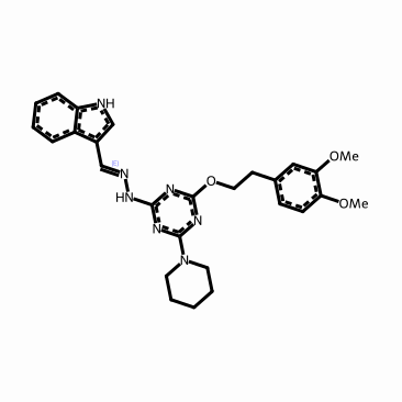 COc1ccc(CCOc2nc(N/N=C/c3c[nH]c4ccccc34)nc(N3CCCCC3)n2)cc1OC